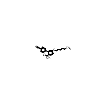 CCCCCCOc1ccc(C(=O)O)c(-c2ccc(C#N)cc2)c1